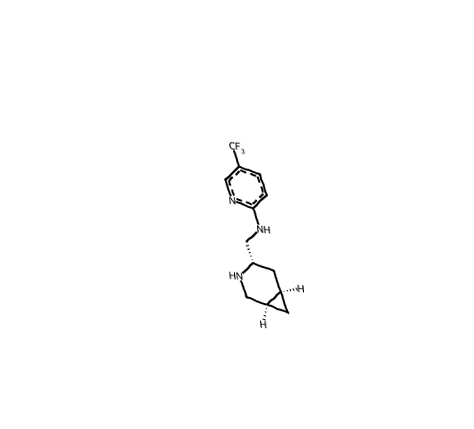 FC(F)(F)c1ccc(NC[C@@H]2C[C@H]3C[C@H]3CN2)nc1